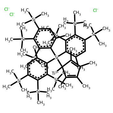 CC1=C(C)[C]([Ti+3])([Si](c2c(C)cc([Si](C)(C)C)c([Si](C)(C)C)c2[Si](C)(C)C)(c2c(C)cc([Si](C)(C)C)c([Si](C)(C)C)c2[Si](C)(C)C)c2c(C)cc([Si](C)(C)C)c([Si](C)(C)C)c2[Si](C)(C)C)C(C)=C1C.[Cl-].[Cl-].[Cl-]